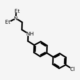 CCN(CC)CCNCc1ccc(-c2ccc(Cl)cc2)cc1